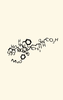 COc1ccc(S(=O)(=O)N(C[C@@H](O)[C@H](Cc2ccccc2)NC(=O)O[C@@H]2CO[C@@H]3OCC[C@@H]32)CC(C)(C)CCCNC(=O)NCC(=O)O)cc1